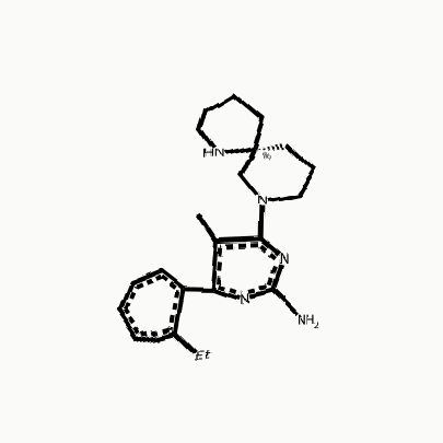 CCc1ccccc1-c1nc(N)nc(N2CCC[C@]3(CCCCN3)C2)c1C